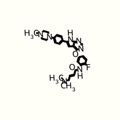 CN(C)CC=CC(=O)Nc1cc(Oc2ncnc3[nH]c(-c4ccc(N5CCN(C)CC5)cc4)cc23)ccc1F